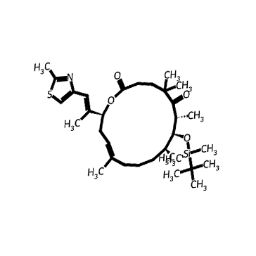 C/C1=C\C[C@@H](/C(C)=C/c2csc(C)n2)OC(=O)CCC(C)(C)C(=O)[C@H](C)[C@@H](O[Si](C)(C)C(C)(C)C)[C@@H](C)CCC1